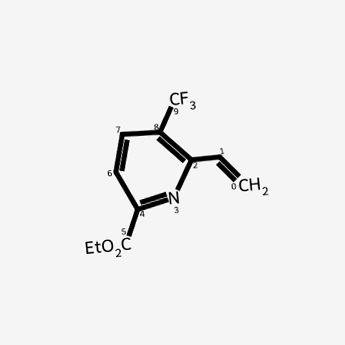 C=Cc1nc(C(=O)OCC)ccc1C(F)(F)F